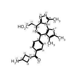 Cc1sc2c(c1C)C(c1ccc(C(=O)N3CC(N)C3)cc1)=N[C@@H](CC(=O)O)c1nnc(C)n1-2